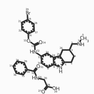 CNCC1CCc2[nH]c3ccc(NC(=O)Oc4ccc(Br)cc4)cc3c2C1.O=C(O)CNC(=O)c1ccccc1